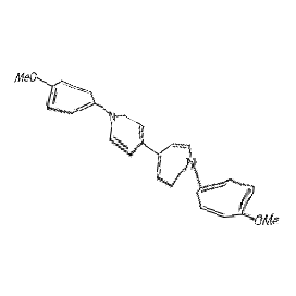 COc1ccc(N2C=CC(C3=CCN(c4ccc(OC)cc4)C=C3)=CC2)cc1